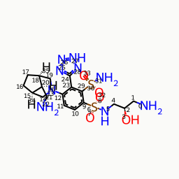 NC[C@@H](O)CNS(=O)(=O)c1ccc(N2C[C@H]3CC[C@@H](C2)[C@H]3CN)c(-c2nn[nH]n2)c1S(N)(=O)=O